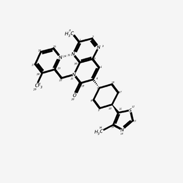 Cc1cnc2cc([C@H]3CC[C@H](c4scnc4C)CC3)c(=O)n(Cc3ncccc3C(F)(F)F)c2n1